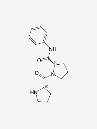 O=C(Nc1ccccc1)[C@H]1CCCN1C(=O)[C@@H]1CCCN1